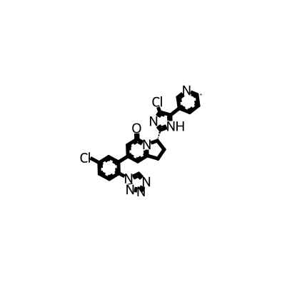 O=c1cc(-c2cc(Cl)ccc2-n2cnnn2)cc2n1[C@H](c1nc(Cl)c(-c3cc[c]nc3)[nH]1)CC2